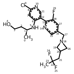 C[C@@H](CCO)Nc1cc(Cl)ncc1-c1ncc(CN2CC(CC(C)(F)F)C2)cc1F